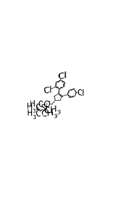 CC(C)(C)[Si](C)(C)OCC1CC(c2ccc(Cl)cc2)=C(c2ccc(Cl)cc2Cl)C1